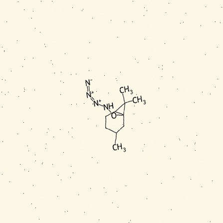 CC1CCC2C(C)(C)C2(ON[N+]=[N+]=[N-])C1